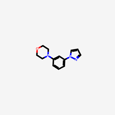 c1cc(N2CCOCC2)cc(-n2cccn2)c1